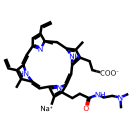 C=CC1=CC2=NC1(C)Cc1[nH]c(c(CCC(=O)[O-])c1C)C=C1N=C(C=c3[nH]c(c(C=C)c3C)=C2)C(C)=C1CCC(=O)NCCN(C)C.[Na+]